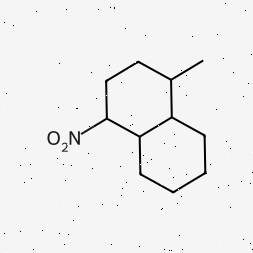 CC1CCC([N+](=O)[O-])C2CCCCC12